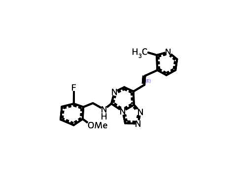 COc1cccc(F)c1CNc1ncc(/C=C/c2cccnc2C)c2nncn12